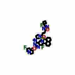 CN(c1nc(OC[C@@]23CCCN2C[C@H](F)C3)nc2c(F)c(-c3cccc4cccc(Cl)c34)ncc12)C1CCN(C(=O)/C=C/c2nc(C3(F)CCC3)no2)C1